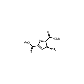 COC(=O)c1cn(C)c(C(=O)OC)n1